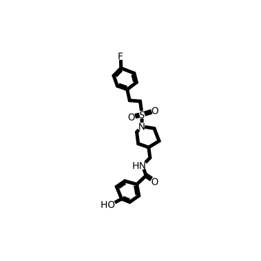 O=C(NCC1CCN(S(=O)(=O)CCc2ccc(F)cc2)CC1)c1ccc(O)cc1